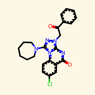 O=C(Cn1nc(N2CCCCCC2)n2c3ccc(Cl)cc3c(=O)nc12)c1ccccc1